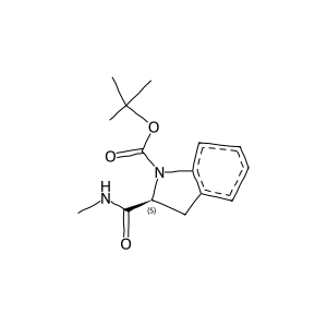 CNC(=O)[C@@H]1Cc2ccccc2N1C(=O)OC(C)(C)C